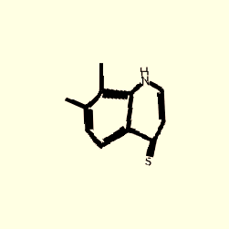 Cc1ccc2c(=S)cc[nH]c2c1C